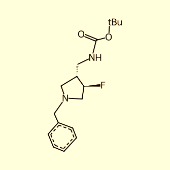 CC(C)(C)OC(=O)NC[C@H]1CN(Cc2ccccc2)C[C@@H]1F